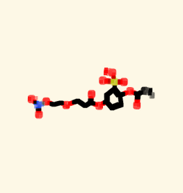 CC(=O)Oc1ccc(OC(=O)CCOCCO[N+](=O)[O-])cc1S(=O)(=O)O